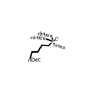 CCCCCCCCCCCCCCP(Cl)(CCCCCC)(CCCCCC)CCCCCC